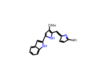 COc1cc(-c2cc3ccccc3[nH]2)[nH]c1/C=C1\C=CC(C(C)C)=N1